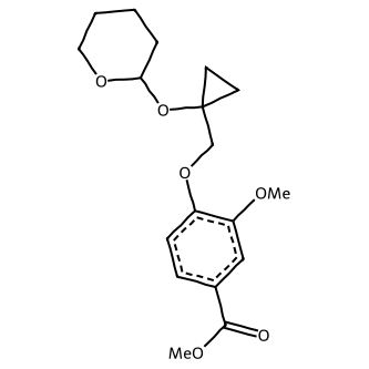 COC(=O)c1ccc(OCC2(OC3CCCCO3)CC2)c(OC)c1